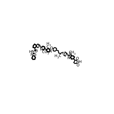 Cc1c(OC2CCC(CC[C@H](C)CN3CCN(c4nc5cc(C6CCC(=O)NC6=O)ccc5n4C)CC3)CC2)cccc1-c1ccc(N2CCc3cccc(C(=O)Nc4nc5ccccc5s4)c3C2)nc1C(=O)O